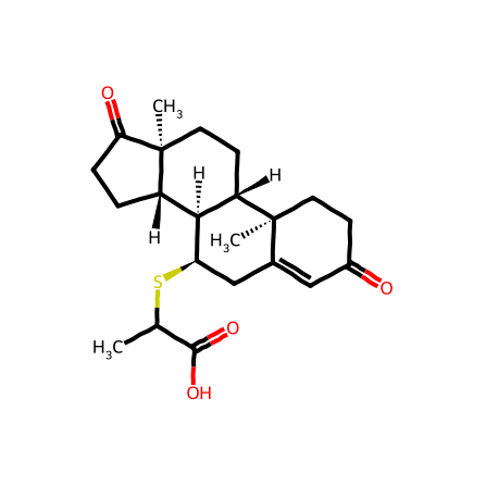 CC(S[C@@H]1CC2=CC(=O)CC[C@]2(C)[C@H]2CC[C@]3(C)C(=O)CC[C@H]3[C@H]12)C(=O)O